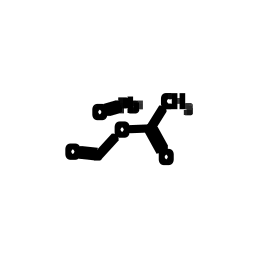 CC(=O)OC=O.[O]=[Pb]